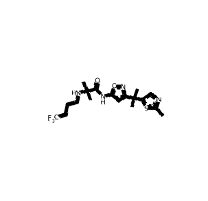 Cc1ncc(C(C)(C)c2cc(NC(=O)C(C)(C)NCCCC(F)(F)F)on2)s1